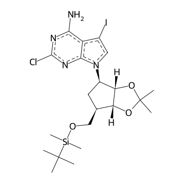 CC1(C)O[C@@H]2[C@@H](CO[Si](C)(C)C(C)(C)C)C[C@@H](n3cc(I)c4c(N)nc(Cl)nc43)[C@@H]2O1